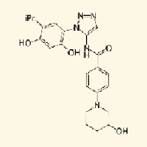 CC(C)c1cc(-n2nncc2NC(=O)c2ccc(N3CCCC(O)C3)cc2)c(O)cc1O